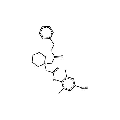 COc1cc(C)c(NC(=O)C[N+]2(CC(=O)OCc3ccccc3)CCCCC2)c(C)c1